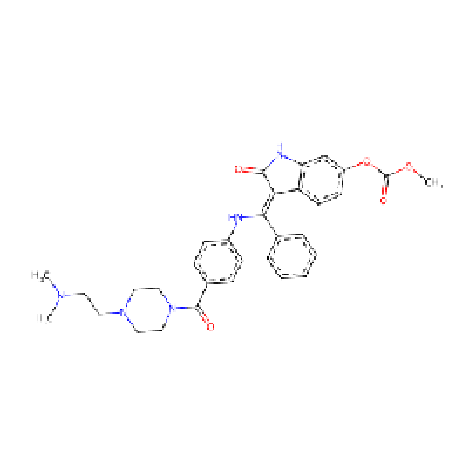 COC(=O)Oc1ccc2c(c1)NC(=O)/C2=C(\Nc1ccc(C(=O)N2CCN(CCN(C)C)CC2)cc1)c1ccccc1